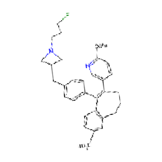 COc1ccc(C2=C(c3ccc(CC4CN(CCCF)C4)cc3)c3ccc(C(=O)O)cc3CCC2)cn1